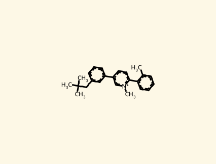 Cc1ccccc1-c1ccc(-c2cccc(CC(C)(C)C)c2)c[n+]1C